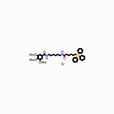 COc1cc(C(=O)NCCCCCCNC(=O)CCCCC[P+](c2ccccc2)(c2ccccc2)c2ccccc2)cc(OC)c1OC.[Br-]